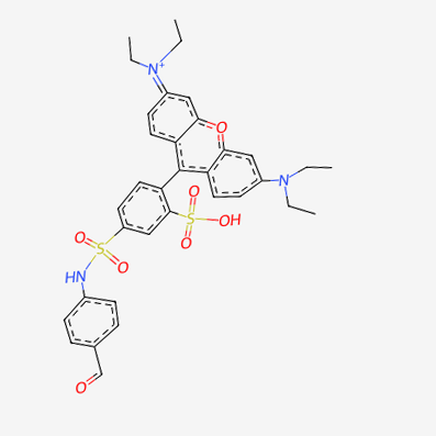 CCN(CC)c1ccc2c(-c3ccc(S(=O)(=O)Nc4ccc(C=O)cc4)cc3S(=O)(=O)O)c3ccc(=[N+](CC)CC)cc-3oc2c1